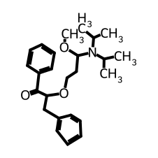 COC(CCOC(Cc1ccccc1)C(=O)c1ccccc1)N(C(C)C)C(C)C